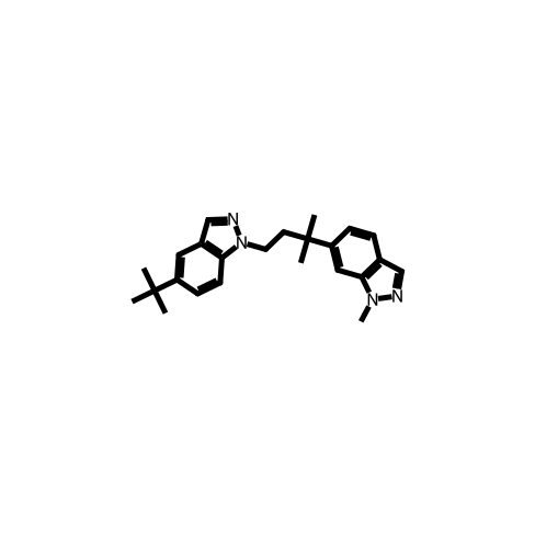 Cn1ncc2ccc(C(C)(C)CCn3ncc4cc(C(C)(C)C)ccc43)cc21